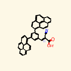 N#C/C(=C\c1cc(-c2ccc3ccc4cccc5ccc2c3c45)cc(-c2ccc3ccc4cccc5ccc2c3c45)c1)C(=O)O